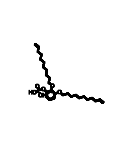 C=CCCCCCCCCCOc1cccc(OP(=O)(O)O)c1OCCCCCCCCCC=C